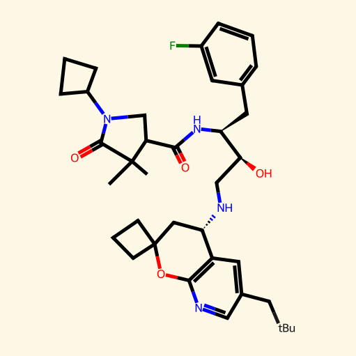 CC(C)(C)Cc1cnc2c(c1)[C@@H](NC[C@H](O)[C@H](Cc1cccc(F)c1)NC(=O)C1CN(C3CCC3)C(=O)C1(C)C)CC1(CCC1)O2